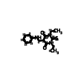 CCN1C(=O)C(CNc2ccccc2)C(=O)N(CC)C1=S